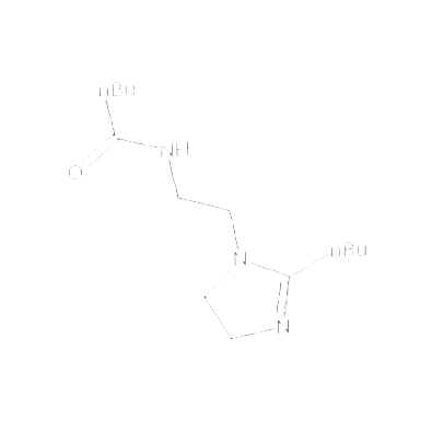 CCCCC(=O)NCCN1CCN=C1CCCC